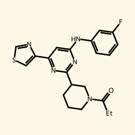 CCC(=O)N1CCCC(c2nc(Nc3cccc(F)c3)cc(-c3cscn3)n2)C1